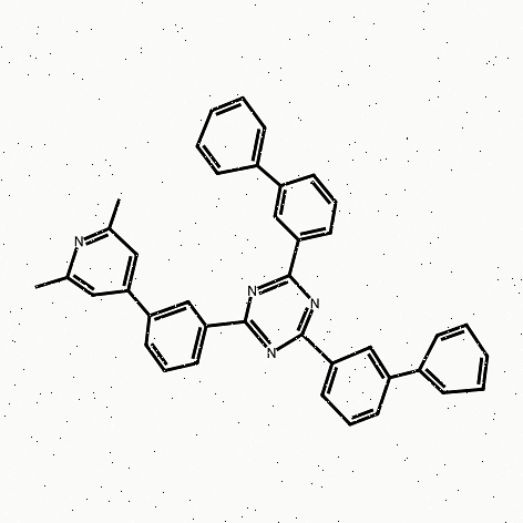 Cc1cc(-c2cccc(-c3nc(-c4cccc(-c5ccccc5)c4)nc(-c4cccc(-c5ccccc5)c4)n3)c2)cc(C)n1